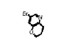 Brc1cnc2c(c1)OCCC2